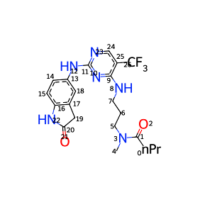 CCCC(=O)N(C)CCCNc1nc(Nc2ccc3c(c2)CC(=O)N3)ncc1C(F)(F)F